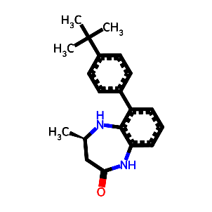 C[C@@H]1CC(=O)Nc2cccc(-c3ccc(C(C)(C)C)cc3)c2N1